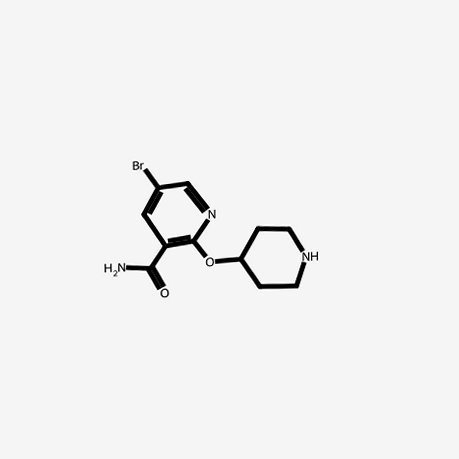 NC(=O)c1cc(Br)cnc1OC1CCNCC1